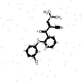 CN(C)C=C(C#N)C(=O)c1cccnc1Oc1cccc(Cl)c1